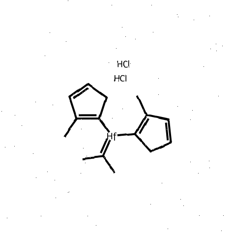 CC1=[C]([Hf]([C]2=C(C)C=CC2)=[C](C)C)CC=C1.Cl.Cl